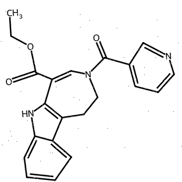 CCOC(=O)C1=CN(C(=O)c2cccnc2)CCc2c1[nH]c1ccccc21